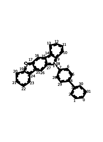 c1ccc(-c2ccc(-n3c4ccccc4c4cc5sc6ccccc6c5cc43)cc2)cc1